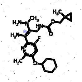 Cc1nc(/C(N)=C(\CNC(=O)OCC2(C)CC2)N(C)N)c(F)cc1OC1CCCCC1